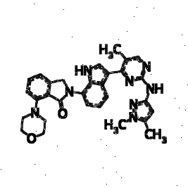 Cc1cnc(Nc2cc(C)n(C)n2)nc1-c1c[nH]c2c(N3Cc4cccc(N5CCOCC5)c4C3=O)cccc12